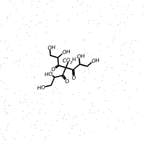 O=C(O)C(C(=O)C(O)CO)(C(=O)C(O)CO)C(=O)C(O)CO